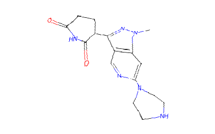 Cn1nc(C2CCC(=O)NC2=O)c2cnc(N3CCNCC3)cc21